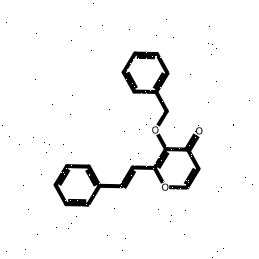 O=c1ccoc(C=Cc2ccccc2)c1OCc1ccccc1